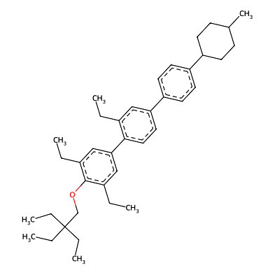 CCc1cc(-c2ccc(C3CCC(C)CC3)cc2)ccc1-c1cc(CC)c(OCC(CC)(CC)CC)c(CC)c1